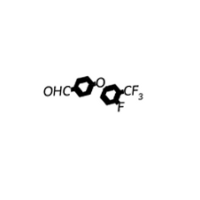 O=Cc1ccc(Oc2ccc(F)c(C(F)(F)F)c2)cc1